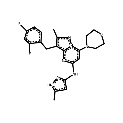 Cc1cc(Nc2cc(N3CCOCC3)n3nc(C)c(Cc4ccc(F)cc4F)c3n2)n[nH]1